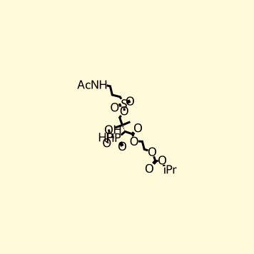 CC(=O)NCCCS(=O)(=O)OCC(C)(C)[C@H](C(=O)OCCOC(=O)OC(C)C)[PH](=O)[PH](=O)O